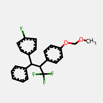 COCOc1ccc(C(C(c2ccccc2)c2ccc(F)cc2)C(F)(F)F)cc1